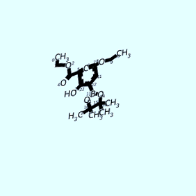 CCOC(=O)c1cc(OCC)cc(B2OC(C)(C)C(C)(C)O2)c1O